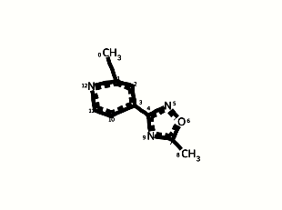 Cc1cc(-c2noc(C)n2)ccn1